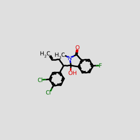 C=CCC(c1ccc(Cl)c(Cl)c1)C1(O)c2ccc(F)cc2C(=O)N1C